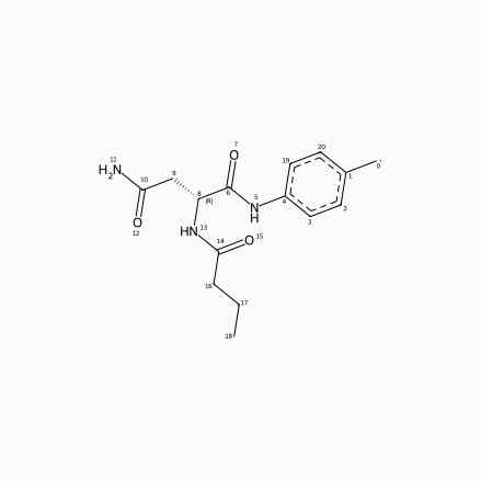 [CH2]c1ccc(NC(=O)[C@@H](CC(N)=O)NC(=O)CCC)cc1